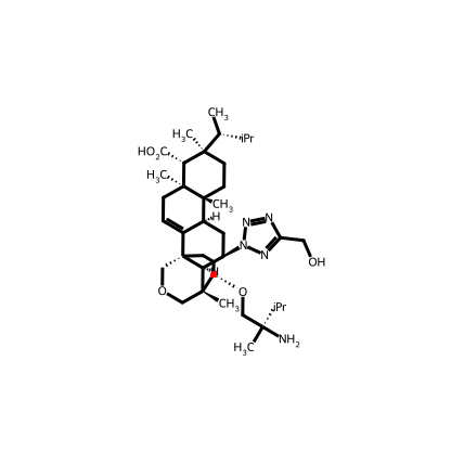 CC(C)[C@@H](C)[C@@]1(C)CC[C@]2(C)[C@H]3CC[C@@H]4[C@@]5(COC[C@@]4(C)[C@@H](OC[C@](C)(N)C(C)C)[C@H](n4nnc(CO)n4)C5)C3=CC[C@@]2(C)[C@@H]1C(=O)O